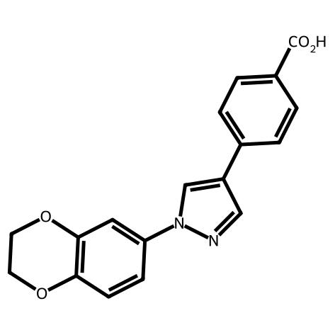 O=C(O)c1ccc(-c2cnn(-c3ccc4c(c3)OCCO4)c2)cc1